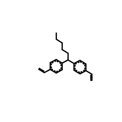 C=Cc1ccc(C(CCCCC)c2ccc(C=C)cc2)cc1